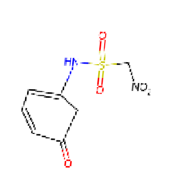 O=C1C=CC=C(NS(=O)(=O)C[N+](=O)[O-])C1